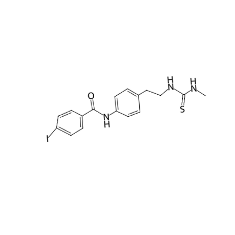 CNC(=S)NCCc1ccc(NC(=O)c2ccc(I)cc2)cc1